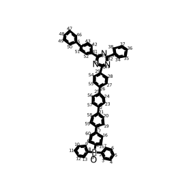 O=P(c1ccccc1)(c1ccccc1)c1ccc(-c2ccc(-c3ccc(-c4ccc(-c5nc(-c6ccccc6)nc(-c6ccc(-c7ccccc7)cc6)n5)cc4)cc3)cc2)cc1